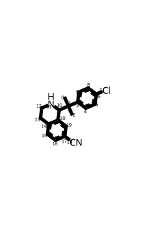 CC(C)(c1ccc(Cl)cc1)C1NCCc2ccc(C#N)cc21